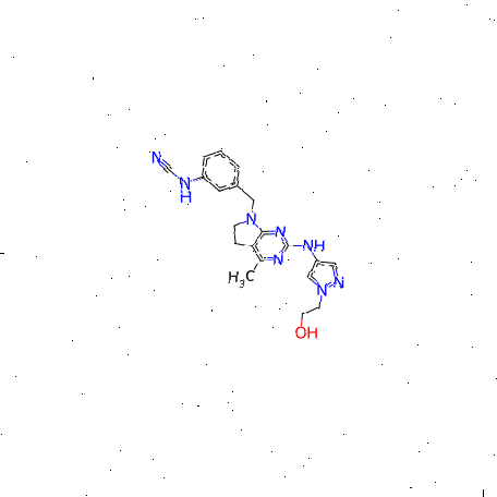 Cc1nc(Nc2cnn(CCO)c2)nc2c1CCN2Cc1cccc(NC#N)c1